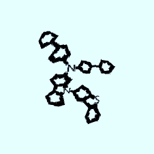 c1ccc(-c2ccc(N(c3ccc(-c4ccccc4)cc3)c3ccc4c5ccccc5n(-c5ccc6sc7ccccc7c6c5)c4c3)cc2)cc1